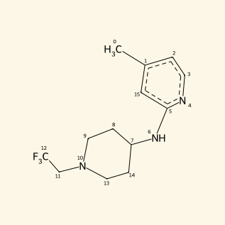 Cc1ccnc(NC2CCN(CC(F)(F)F)CC2)c1